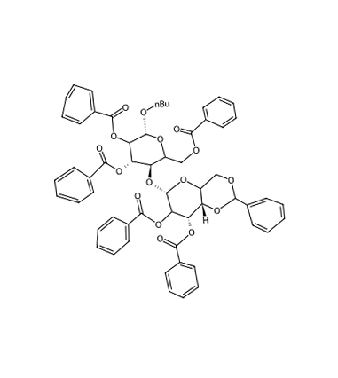 CCCCO[C@@H]1OC(COC(=O)c2ccccc2)[C@@H](O[C@@H]2OC3COC(c4ccccc4)O[C@@H]3[C@H](OC(=O)c3ccccc3)C2OC(=O)c2ccccc2)[C@H](OC(=O)c2ccccc2)C1OC(=O)c1ccccc1